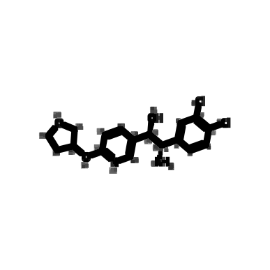 N[C@@H](c1ccc(Cl)c(Cl)c1)[C@H](O)c1ccc(OC2CCOC2)nc1